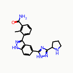 Cc1c(C(N)=O)cccc1-c1n[nH]c2ccc(-c3nc(C4CCCN4)n[nH]3)cc12